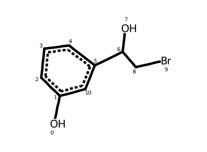 Oc1cccc(C(O)CBr)c1